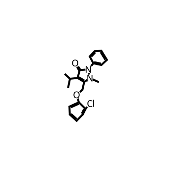 CC(C)c1c(COc2ccccc2Cl)n(C)n(-c2ccccc2)c1=O